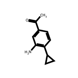 CC(=O)c1ccc(C2CC2)c(N)c1